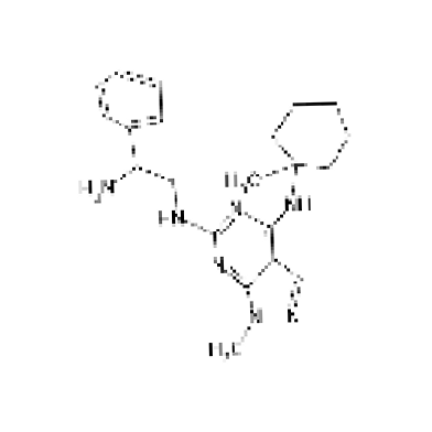 Cn1ncc2c(NC3(C)CCCCC3)nc(NCC(N)c3ccccc3)nc21